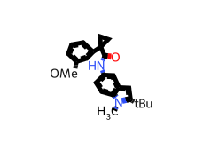 COc1cccc(C2(C(=O)Nc3ccc4c(c3)cc(C(C)(C)C)n4C)CC2)c1